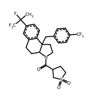 CC(F)(c1ccc2c(c1)CCC1N(C(=O)C3CCS(=O)(=O)C3)CCC21Cc1ccc(C(F)(F)F)cc1)C(F)(F)F